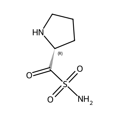 NS(=O)(=O)C(=O)[C@H]1CCCN1